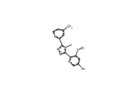 CCSc1cc(C(C)=O)cnc1-c1nnc(-c2cc(C(F)(F)F)ccn2)n1C